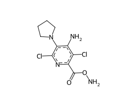 NOC(=O)c1nc(Cl)c(N2CCCC2)c(N)c1Cl